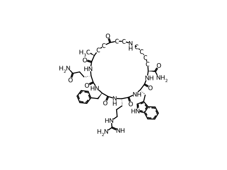 C[C@H]1CCC(=O)CCNCCCC[C@@H](C(N)=O)NC(=O)[C@H](Cc2c[nH]c3ccccc23)NC(=O)[C@H](CCCNC(=N)N)NC(=O)[C@@H](Cc2ccccc2)NC(=O)[C@H](CCC(N)=O)NC1=O